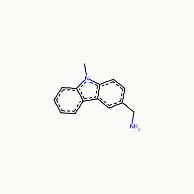 Cn1c2ccccc2c2cc(CN)ccc21